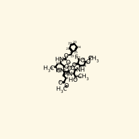 COC(=O)CCC(NC(=O)[C@H](CC(C)C)NC(=O)OCc1ccccc1)C(=O)N[C@H](C(=O)NC(CC(=O)OC)C(=O)CF)[C@@H](C)O